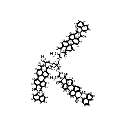 CCC(COCC(C)N1C(=O)c2ccc3c4ccc5c6c(ccc(c7ccc(c2c37)C1=O)c64)C(=O)N(c1cccc2ccccc12)C5=O)(COCC(C)N1C(=O)c2ccc3c4ccc5c6c(ccc(c7ccc(c2c37)C1=O)c64)C(=O)N(c1cccc2ccccc12)C5=O)COCC(C)N1C(=O)c2ccc3c4ccc5c6c(ccc(c7ccc(c2c37)C1=O)c64)C(=O)N(c1cccc2ccccc12)C5=O